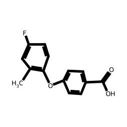 Cc1cc(F)ccc1Oc1ccc(C(=O)O)cc1